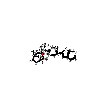 CN(c1ncc(-c2cc3ccncc3s2)nn1)[C@H]1C[C@@H]2CC[C@H]([C@H]1F)N2C(=O)OC(C)(C)C